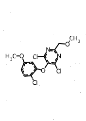 COCc1nc(Cl)c(Oc2cc(OC)ccc2Cl)c(Cl)n1